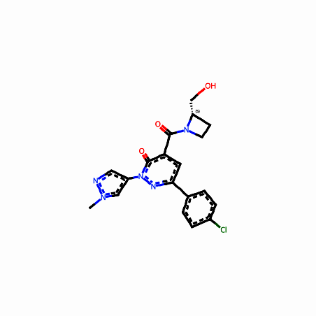 Cn1cc(-n2nc(-c3ccc(Cl)cc3)cc(C(=O)N3CC[C@H]3CO)c2=O)cn1